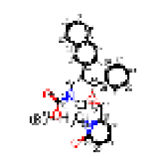 CN(C[C@H](c1ccc2ccccc2c1)[C@H](OCc1cccc(=O)n1C)c1ccccc1)C(=O)OC(C)(C)C